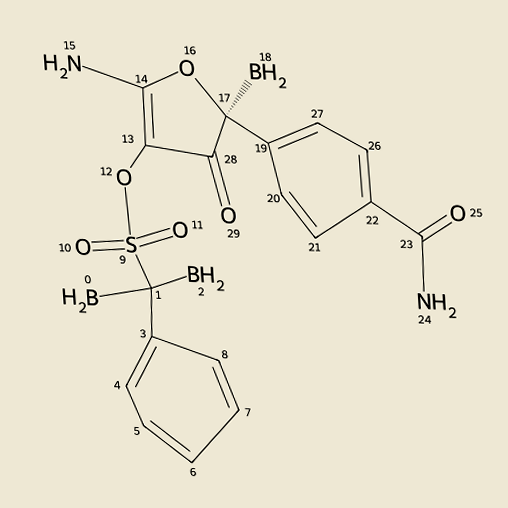 BC(B)(c1ccccc1)S(=O)(=O)OC1=C(N)O[C@@](B)(c2ccc(C(N)=O)cc2)C1=O